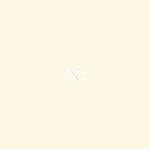 N.N.[AlH3].[W]